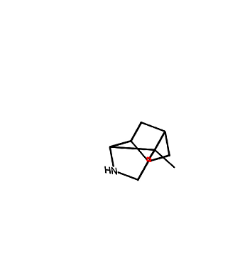 CC1(C)C2CC3CNC1C3C2